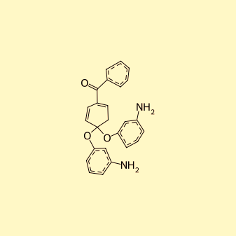 Nc1cccc(OC2(Oc3cccc(N)c3)C=CC(C(=O)c3ccccc3)=CC2)c1